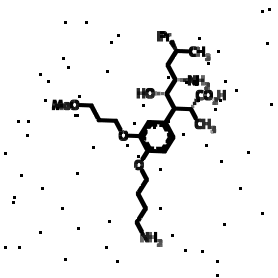 COCCCOc1cc(C([C@@H](C)C(=O)O)[C@H](O)[C@@H](N)C[C@H](C)C(C)C)ccc1OCCCCN